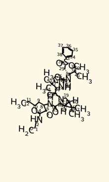 C=CCNC(=O)C(=O)C(CCCC)NC(=O)[C@@H]1[C@@H]2[C@H](CN1C(=O)[C@@H](NC(=O)N[C@H](CS(=O)(=O)c1ccccc1)C(C)C)C(C)(C)C)C2(C)C